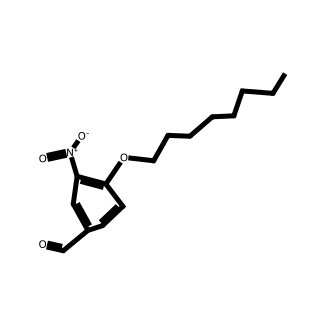 CCCCCCCCOc1ccc(C=O)cc1[N+](=O)[O-]